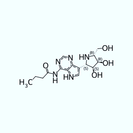 CCCC(=O)Nc1ncnc2c([C@@H]3N[C@H](CO)[C@@H](O)[C@H]3O)c[nH]c12